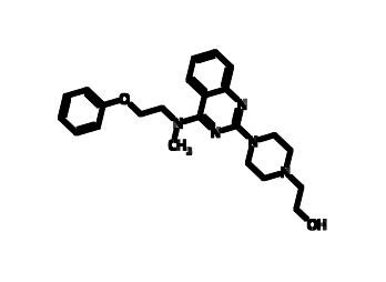 CN(CCOc1ccccc1)c1nc(N2CCN(CCO)CC2)nc2ccccc12